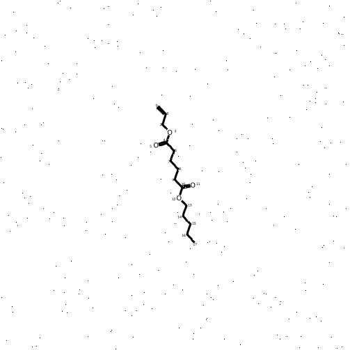 C=CCOC(=O)CCCCC(=O)OCCCCC